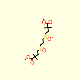 COC(=O)C(C)(C)CC[S+]([O-])CCC[S+]([O-])CCC(C)(C)C(=O)OC